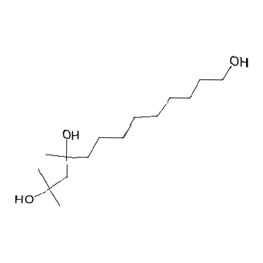 CC(C)(O)CC(C)(O)CCCCCCCCCO